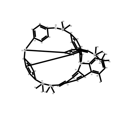 Cc1c2ccc3c1c1cc4ccc1n3-c1ccc(cc1)C[Si](C)(C)c1ccc(cc1)-n1c3ccc(cc3c3c(C)c(ccc31)[Si](C)(C)[Si]2(C)C)[Si](C)(C)[Si]4(C)C